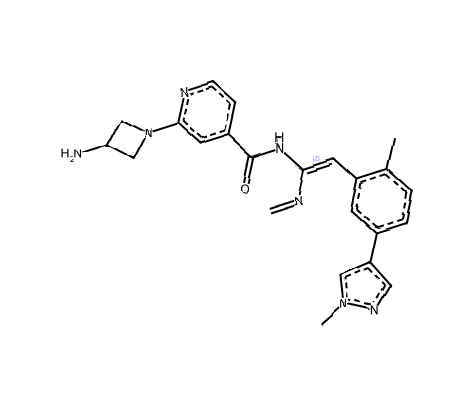 C=N/C(=C\c1cc(-c2cnn(C)c2)ccc1C)NC(=O)c1ccnc(N2CC(N)C2)c1